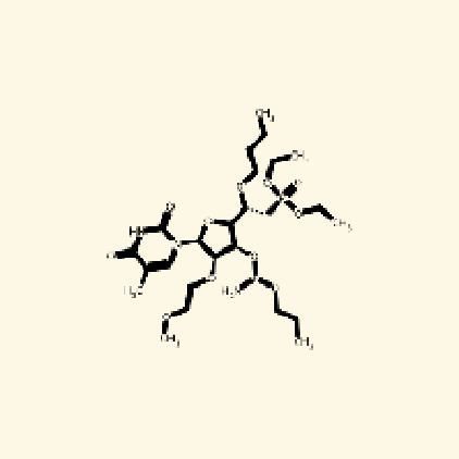 CCCCO[C@H](CP(=O)(OCC)OCC)C1O[C@H](n2cc(C)c(=O)[nH]c2=O)[C@H](OCCOC)[C@@H]1OP(N)OCCC